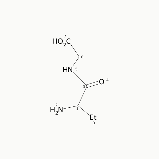 CCC(N)C(=O)NCC(=O)O